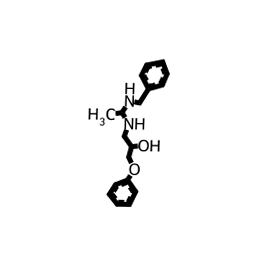 CC(NCc1ccccc1)NCC(O)COc1ccccc1